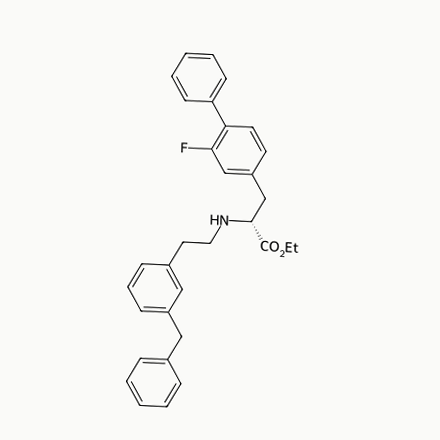 CCOC(=O)[C@@H](Cc1ccc(-c2ccccc2)c(F)c1)NCCc1cccc(Cc2ccccc2)c1